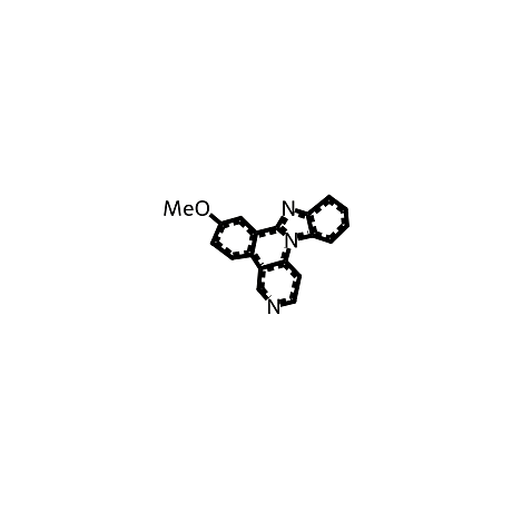 COc1ccc2c3cnccc3n3c4ccccc4nc3c2c1